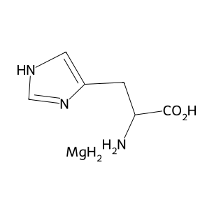 NC(Cc1c[nH]cn1)C(=O)O.[MgH2]